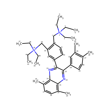 CC[N+](CC)(CC)Cc1ccc(-c2nc3c(C)ccc(C)c3nc2-c2ccc(C)c(C)c2)cc1C[N+](CC)(CC)CC